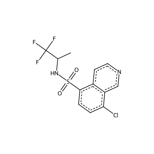 CC(NS(=O)(=O)c1ccc(Cl)c2cnccc12)C(F)(F)F